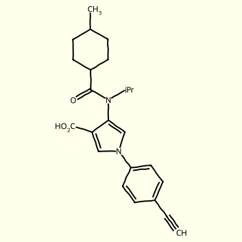 C#Cc1ccc(-n2cc(C(=O)O)c(N(C(=O)C3CCC(C)CC3)C(C)C)c2)cc1